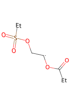 CCC(=O)O[CH]COS(=O)(=O)CC